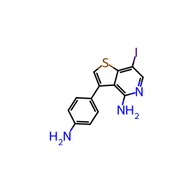 Nc1ccc(-c2csc3c(I)cnc(N)c23)cc1